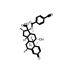 C[C@@H]1C[C@H]2[C@@H]3C[C@H](F)C4=CC(=O)C=C[C@]4(C)[C@@]3(F)[C@@H](O)C[C@]2(C)[C@@]1(OC(=O)c1ccc(C#N)cc1)C(=O)O